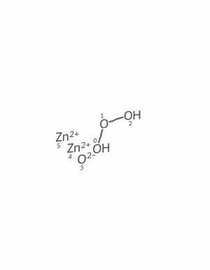 OOO.[O-2].[Zn+2].[Zn+2]